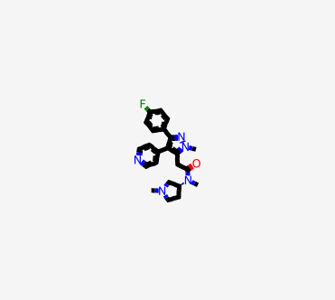 CN1CC[C@@H](N(C)C(=O)Cc2c(-c3ccncc3)c(-c3ccc(F)cc3)nn2C)C1